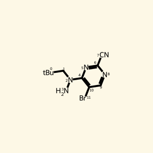 CC(C)(C)CN(N)c1nc(C#N)ncc1Br